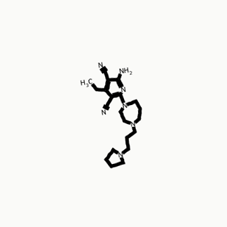 CCc1c(C#N)c(N)nc(N2CCCN(CCCN3CCCC3)CC2)c1C#N